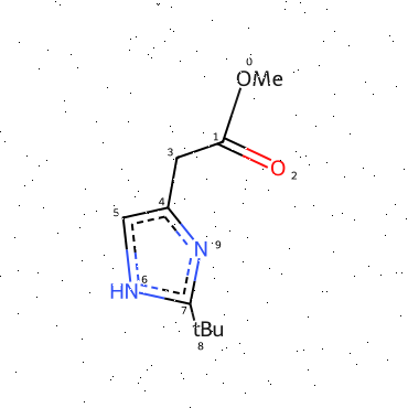 COC(=O)Cc1c[nH]c(C(C)(C)C)n1